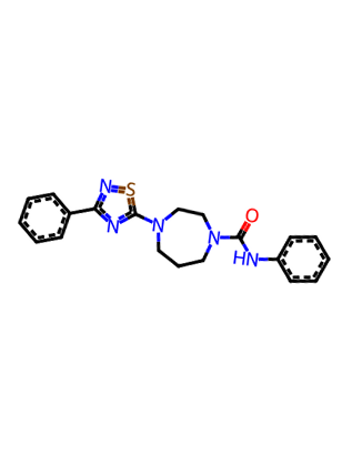 O=C(Nc1ccccc1)N1CCCN(c2nc(-c3ccccc3)ns2)CC1